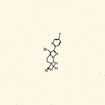 [2H]C([2H])([2H])C1(C#N)CCc2c(Br)c(-c3ccc(F)cn3)nn2C1